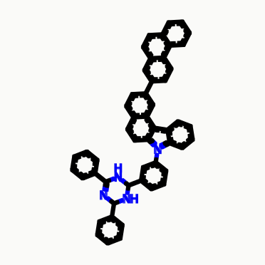 c1ccc(C2=NC(c3ccccc3)NC(c3cccc(-n4c5ccccc5c5c6cc(-c7ccc8c(ccc9ccccc98)c7)ccc6ccc54)c3)N2)cc1